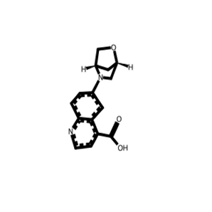 O=C(O)c1ccnc2ccc(N3C[C@@H]4C[C@H]3CO4)cc12